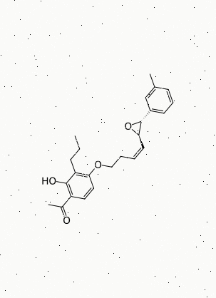 CCCc1c(OCC/C=C\[C@H]2O[C@@H]2c2cccc(C)c2)ccc(C(C)=O)c1O